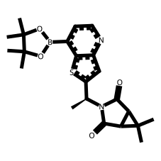 C[C@@H](c1cc2nccc(B3OC(C)(C)C(C)(C)O3)c2s1)N1C(=O)C2C(C1=O)C2(C)C